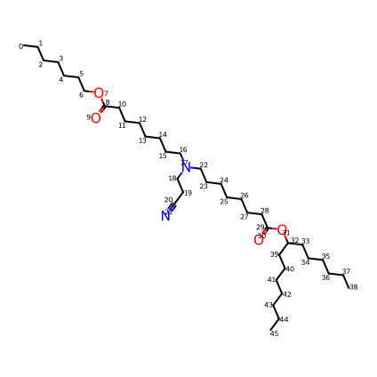 CCCCCCCOC(=O)CCCCCCCN(CCC#N)CCCCCCCC(=O)OC(CCCCCC)CCCCCCC